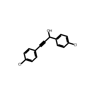 OC(C#Cc1ccc(Cl)cc1)c1ccc(Cl)cc1